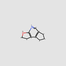 c1nc2c(c3c1CCC3)CCO2